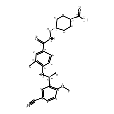 COc1ccc(C#N)cc1[C@H](C)Nc1ccc(C(=O)NC[C@H]2CC[C@H](C(=O)O)CC2)cc1C